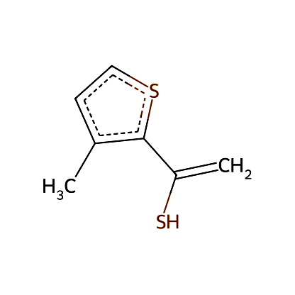 C=C(S)c1sccc1C